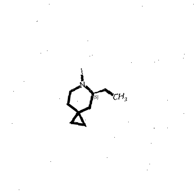 CC[C@H]1CC2(CCN1I)CC2